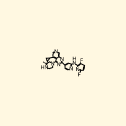 C[C@H]1CN(c2nc(-c3ccnc(Nc4nc(F)ccc4F)c3)nc3cncc(C4CC4)c23)CCN1